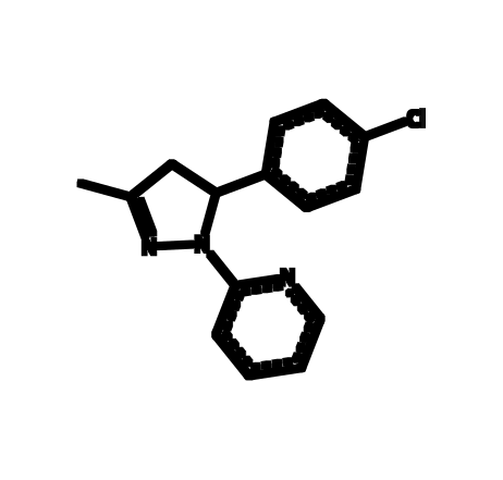 CC1=NN(c2ccccn2)C(c2ccc(Cl)cc2)C1